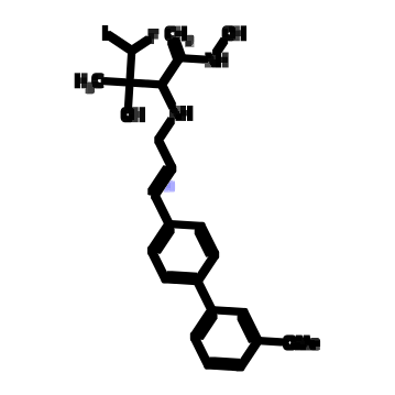 C=C(NO)C(NC/C=C/c1ccc(-c2cccc(OC)c2)cc1)C(C)(O)C(F)I